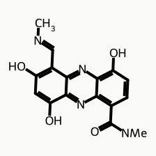 CN=Cc1c(O)cc(O)c2nc3c(C(=O)NC)ccc(O)c3nc12